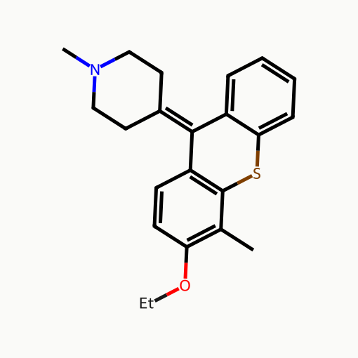 CCOc1ccc2c(c1C)Sc1ccccc1C2=C1CCN(C)CC1